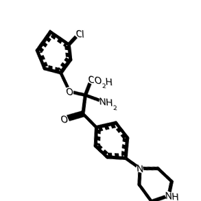 NC(Oc1cccc(Cl)c1)(C(=O)O)C(=O)c1ccc(N2CCNCC2)cc1